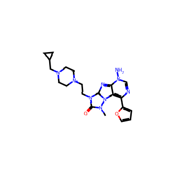 CN1C(=O)N(CCN2CCN(CC3CC3)CC2)C2N=C3C(=C(c4ccco4)N=CN3N)N21